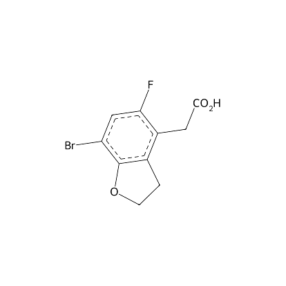 O=C(O)Cc1c(F)cc(Br)c2c1CCO2